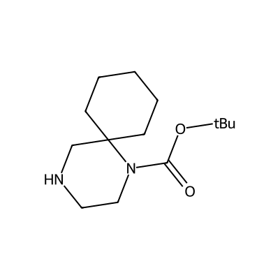 CC(C)(C)OC(=O)N1CCNCC12CCCCC2